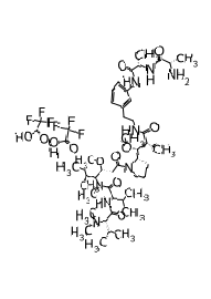 CC[C@H](C)[C@@H]([C@@H](CC(=O)N1CCC[C@H]1[C@H](OC)[C@@H](C)C(=O)NCCc1cccc(NC(=O)[C@H](C)NC(=O)[C@H](C)N)c1)OC)N(C)C(=O)[C@@H](NC(=O)[C@H](C(C)C)N(C)C)C(C)C.O=C(O)C(F)(F)F.O=C(O)C(F)(F)F